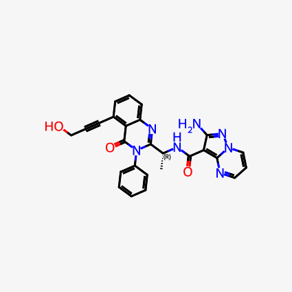 C[C@@H](NC(=O)c1c(N)nn2cccnc12)c1nc2cccc(C#CCO)c2c(=O)n1-c1ccccc1